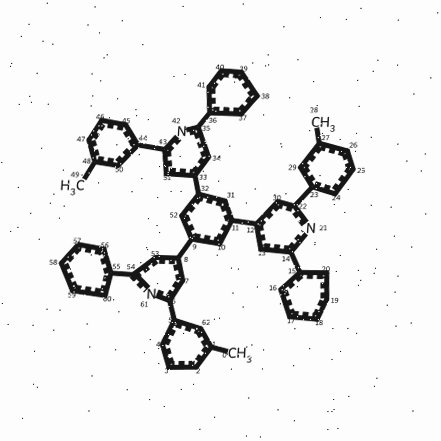 Cc1cccc(-c2cc(-c3cc(-c4cc(-c5ccccc5)nc(-c5cccc(C)c5)c4)cc(-c4cc(-c5ccccc5)nc(-c5cccc(C)c5)c4)c3)cc(-c3ccccc3)n2)c1